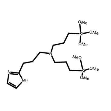 CO[Si](CCCN(CCCc1ncc[nH]1)CCC[Si](OC)(OC)OC)(OC)OC